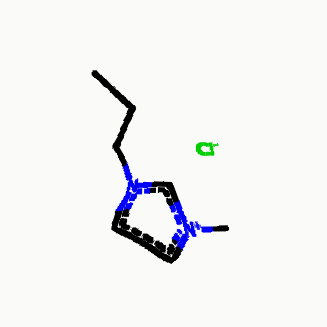 CCCn1cc[n+](C)c1.[Cl-]